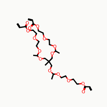 C=CC(=O)OCCOCCOC(C)OCC(C)(COC(C)OCCOCCOC(=O)C=C)COC(C)OCCOCCOC(=O)C=C